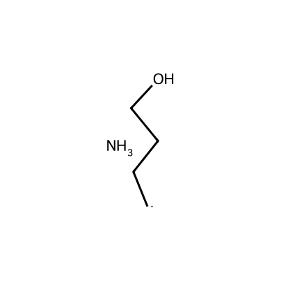 N.[CH2]CCCO